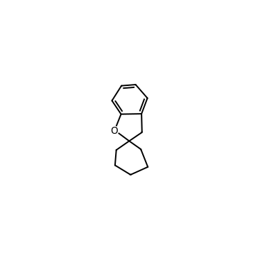 c1ccc2c(c1)CC1(CCCCC1)O2